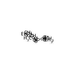 CCC(C)(C)Oc1ccc(C(C)(C)c2ccc(OS(=O)(=O)c3ccc(-c4ccc(S(=O)(=O)C(C)(C)CC)cc4)cc3)cc2)cc1